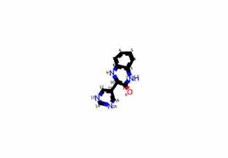 O=c1[nH]c2ccccc2nc1-c1cncnc1